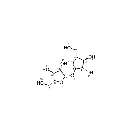 OC[C@H]1OC(OC2O[C@H](CO)[C@@H](O)[C@@H]2O)[C@@H](O)[C@@H]1O